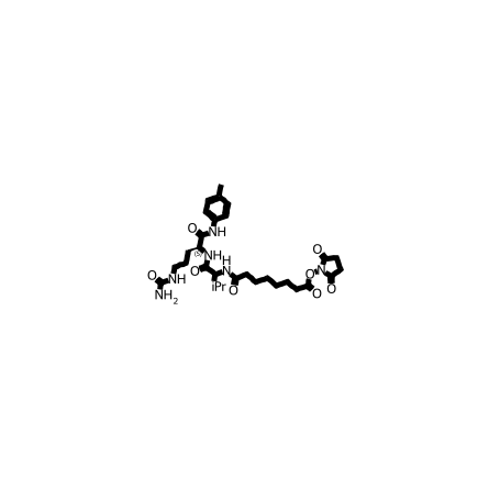 Cc1ccc(NC(=O)[C@H](CCCNC(N)=O)NC(=O)C(NC(=O)CCCCCCC(=O)ON2C(=O)CCC2=O)C(C)C)cc1